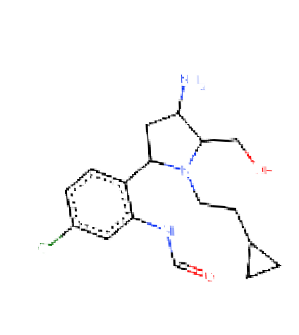 NC1CC(c2ccc(Cl)cc2NC=O)N(CCC2CC2)C1CO